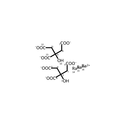 O=C([O-])CC(O)(CC(=O)[O-])C(=O)[O-].O=C([O-])CC(O)(CC(=O)[O-])C(=O)[O-].[Ra+2].[Ra+2].[Ra+2]